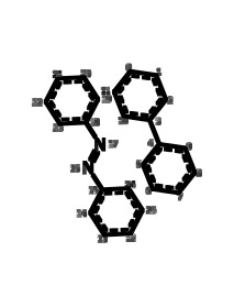 c1ccc(-c2ccccc2)cc1.c1ccc(/N=N/c2ccccc2)cc1